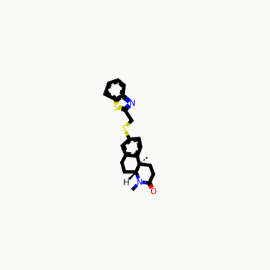 CN1C(=O)CC[C@]2(C)c3ccc(SCc4nc5ccccc5s4)cc3CC[C@@H]12